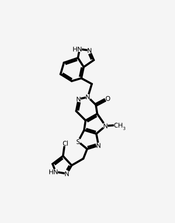 Cn1c2nc(Cc3n[nH]cc3Cl)sc2c2cnn(Cc3cccc4[nH]ncc34)c(=O)c21